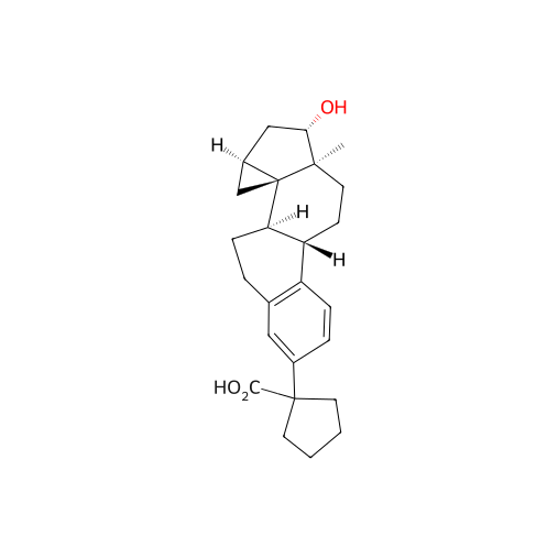 C[C@]12CC[C@@H]3c4ccc(C5(C(=O)O)CCCC5)cc4CC[C@H]3[C@@]13C[C@H]3C[C@@H]2O